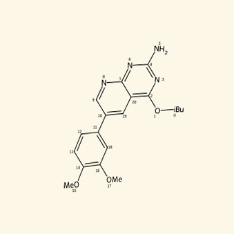 CCC(C)Oc1nc(N)nc2ncc(-c3ccc(OC)c(OC)c3)cc12